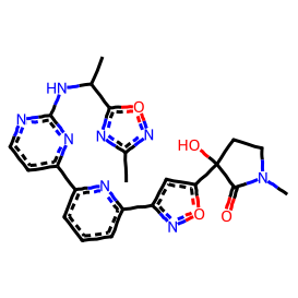 Cc1noc(C(C)Nc2nccc(-c3cccc(-c4cc(C5(O)CCN(C)C5=O)on4)n3)n2)n1